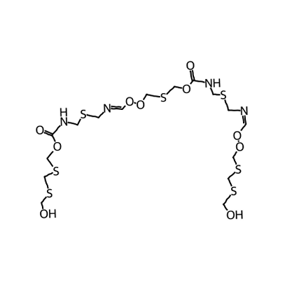 O=C(NCSC/N=C\OOCSCSCO)OCSCOO/C=N/CSCNC(=O)OCSCSCO